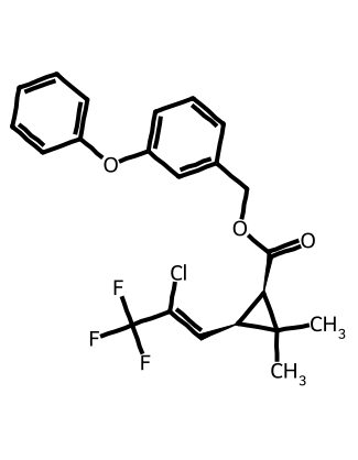 CC1(C)[C@H](C(=O)OCc2cccc(Oc3ccccc3)c2)[C@@H]1C=C(Cl)C(F)(F)F